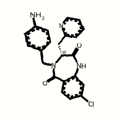 Nc1ccc(CN2C(=O)c3ccc(Cl)cc3NC(=O)[C@H]2Cc2ccccn2)cc1